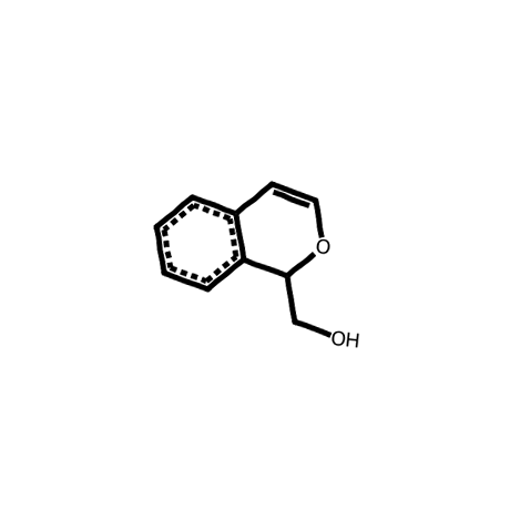 OCC1OC=Cc2ccccc21